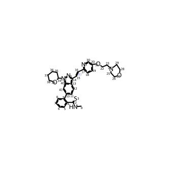 CNC(=S)c1ccccc1-c1ccc2c(/C=C/c3ccc(OCCN4CCOCC4)cn3)nn(C3CCCCO3)c2c1